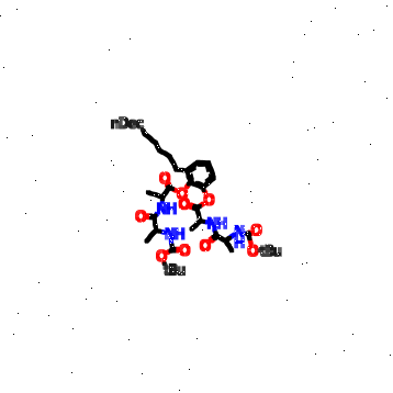 CCCCCCCCCCCCCCCc1cccc(OC(=O)C(C)NC(=O)C(C)NC(=O)OC(C)(C)C)c1OC(=O)C(C)NC(=O)C(C)NC(=O)OC(C)(C)C